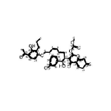 CCCc1c(OCC/C=C\C=C\[C@@H](c2c(OC(=O)OC)oc3c(c2=O)=CCC(=S)C=3)[C@@H](O)c2cccc(Cl)c2)ccc(C(C)=O)c1O